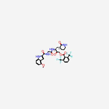 COc1cccc2[nH]c(C(=O)NCC(=O)N[C@@H](C[C@@H]3CCCNC3=O)C(=O)COC(=O)c3c(C(F)(F)F)cccc3C(F)(F)F)cc12